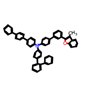 Cc1c(-c2cccc(-c3ccc(N(c4ccc(-c5ccc(-c6ccccc6)cc5)cc4)c4ccc(-c5ccccc5-c5ccccc5)cc4)cc3)c2)oc2ccccc12